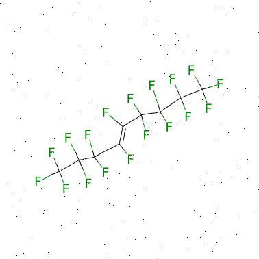 FC(=C(F)C(F)(F)C(F)(F)C(F)(F)C(F)(F)F)C(F)(F)C(F)(F)C(F)(F)F